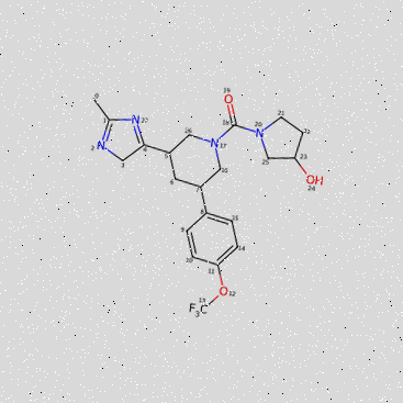 CC1=NCC(C2CC(c3ccc(OC(F)(F)F)cc3)CN(C(=O)N3CCC(O)C3)C2)=N1